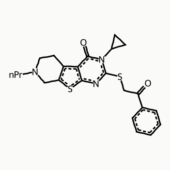 CCCN1CCc2c(sc3nc(SCC(=O)c4ccccc4)n(C4CC4)c(=O)c23)C1